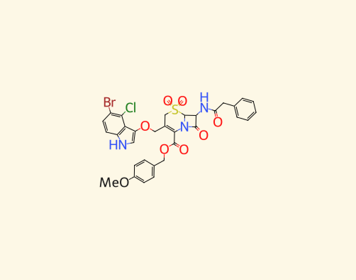 COc1ccc(COC(=O)C2=C(COc3c[nH]c4ccc(Br)c(Cl)c34)CS(=O)(=O)C3C(NC(=O)Cc4ccccc4)C(=O)N23)cc1